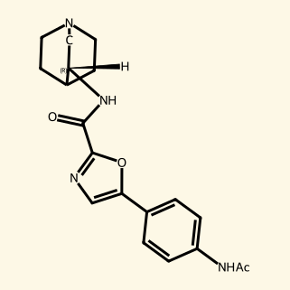 CC(=O)Nc1ccc(-c2cnc(C(=O)N[C@H]3CN4CCC3CC4)o2)cc1